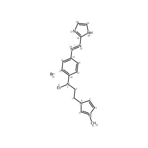 CCN(CCn1cc[n+](C)c1)c1ccc(/N=N/c2ncc[nH]2)cc1.[Br-]